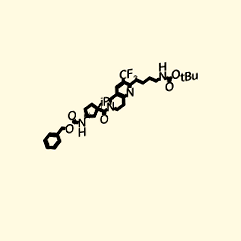 CC(C)[C@]1(C(=O)N2CCc3nc(CCCCNC(=O)OC(C)(C)C)c(C(F)(F)F)cc3C2)CC[C@@H](NC(=O)OCc2ccccc2)C1